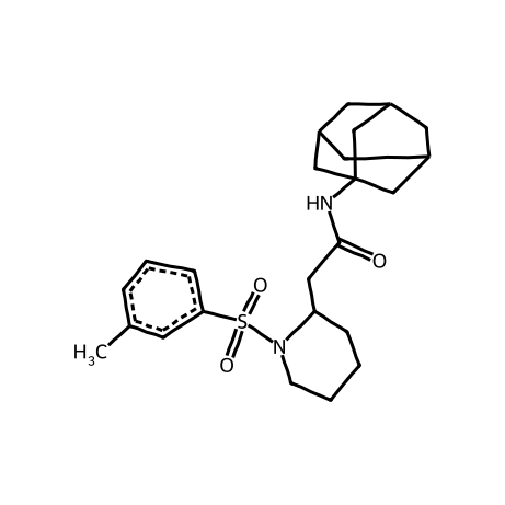 Cc1cccc(S(=O)(=O)N2CCCCC2CC(=O)NC23CC4CC(CC(C4)C2)C3)c1